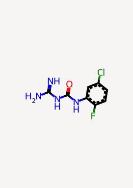 N=C(N)NC(=O)Nc1cc(Cl)ccc1F